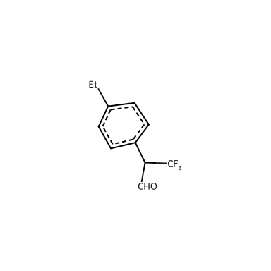 CCc1ccc(C(C=O)C(F)(F)F)cc1